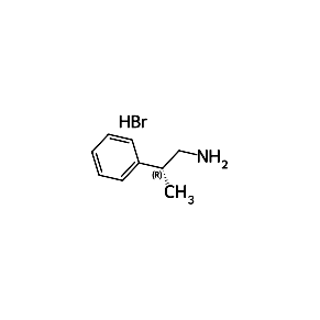 Br.C[C@@H](CN)c1ccccc1